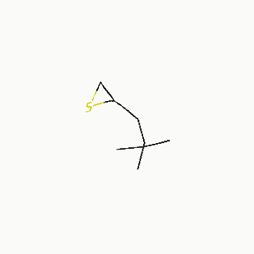 CC(C)(C)CC1CS1